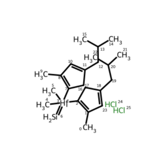 CC1=[C]([Hf]([CH3])([CH3])(=[SiH2])[C]2=C(C)C=C(CC(C)C)C2)CC(CC(C)C)=C1.Cl.Cl